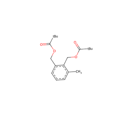 Cc1cccc(COC(=O)C(C)(C)C)c1COC(=O)C(C)(C)C